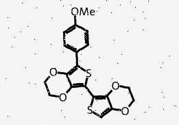 COc1ccc(-c2sc(-c3scc4c3OCCO4)c3c2OCCO3)cc1